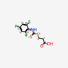 O=C(O)CCSC(=S)Nc1c(F)cc(F)cc1F